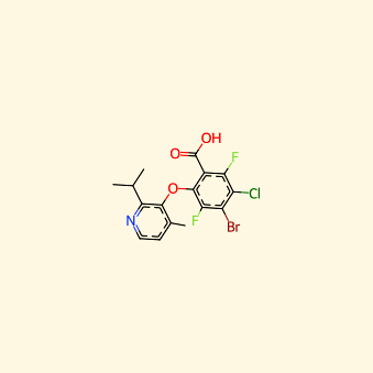 Cc1ccnc(C(C)C)c1Oc1c(F)c(Br)c(Cl)c(F)c1C(=O)O